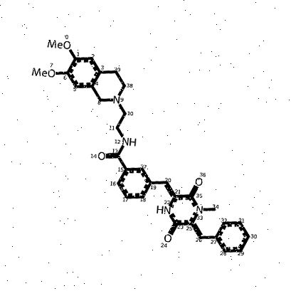 COc1cc2c(cc1OC)CN(CCNC(=O)c1cccc(C=c3[nH]c(=O)c(=Cc4ccccc4)n(C)c3=O)c1)CC2